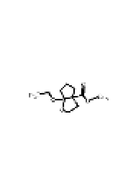 CCOC12CCCC1(C(=O)OC)CCO2